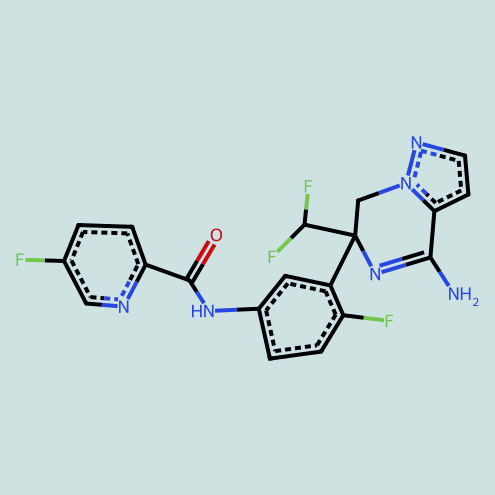 NC1=NC(c2cc(NC(=O)c3ccc(F)cn3)ccc2F)(C(F)F)Cn2nccc21